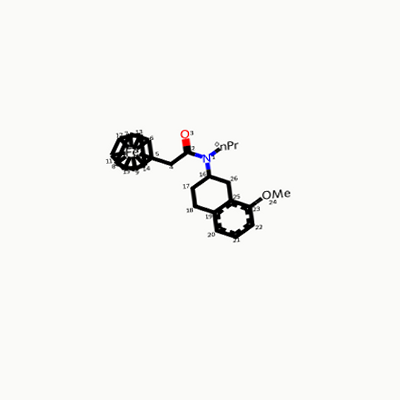 CCCN(C(=O)C[C]12[CH]3[CH]4[CH]5[CH]1[Fe]45321678[CH]2[CH]1[CH]6[CH]7[CH]28)C1CCc2cccc(OC)c2C1